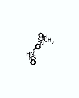 CN1/C(=N/c2ccc(CCNc3nc4ccccc4s3)cc2)SC2CCC[C@H]21